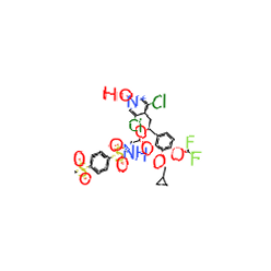 CS(=O)(=O)c1ccc(S(=O)(=O)NCC(=O)O[C@@H](Cc2c(Cl)c[n+](O)cc2Cl)c2ccc(OC(F)F)c(OCC3CC3)c2)cc1